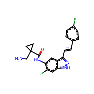 NCC1(C(=O)Nc2cc3c(/C=C/c4ccc(F)cc4)n[nH]c3cc2F)CC1